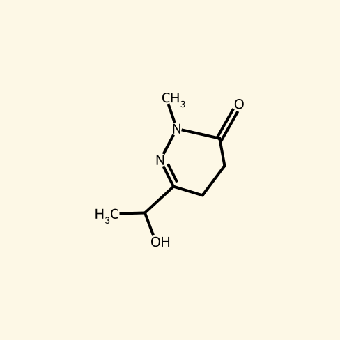 CC(O)C1=NN(C)C(=O)CC1